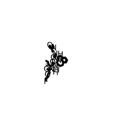 CC[C@H](C)[C@H](NC(=O)COCCF)C(=O)N[C@H]1CCc2cccc3c2N(C1=O)[C@H](C(=O)NCc1cocn1)C3